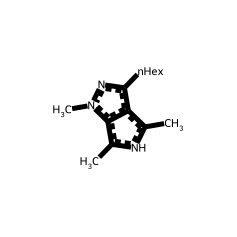 CCCCCCc1nn(C)c2c(C)[nH]c(C)c12